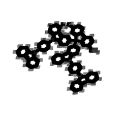 Cc1ccc2c(c1)C(c1ccc3c(c1)c1ccccc1n3-c1ccc(-n3c4ccccc4c4ccccc43)cc1)(c1ccc3c(c1)c1ccccc1n3-c1ccc(-n3c4ccccc4c4ccccc43)cc1)c1cc(C)ccc1-2